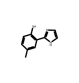 Cc1ccc(S)c(-c2ncc[nH]2)c1